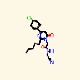 CCCCCc1nc(-c2ccc(Cl)cc2)cc(=O)n1CC(=O)NCC#N